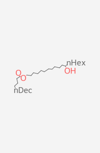 CCCCCCCCCCCCCC(=O)OCCCCCCCCCCCC(O)CCCCCC